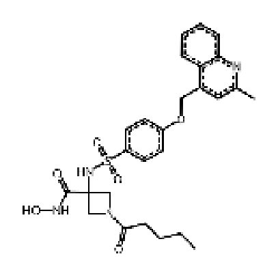 CCCCC(=O)N1CC(NS(=O)(=O)c2ccc(OCc3cc(C)nc4ccccc34)cc2)(C(=O)NO)C1